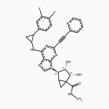 CNC(=O)C12CC1[C@@H](n1cnc3c(NC4CC4c4ccc(F)c(F)c4)nc(C#Cc4ccccn4)nc31)[C@H](O)[C@@H]2O